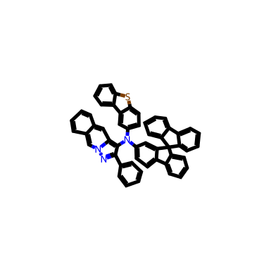 c1ccc(-c2nn3cc4ccccc4cc3c2N(c2ccc3c(c2)C2(c4ccccc4-c4ccccc42)c2ccccc2-3)c2ccc3sc4ccccc4c3c2)cc1